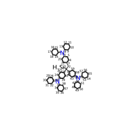 [SiH3]C(Cc1ccc(N(c2ccccc2)c2ccccc2)cc1)(c1ccc(N(c2ccccc2)c2ccccc2)cc1)c1ccc(N(c2ccccc2)c2ccccc2)cc1